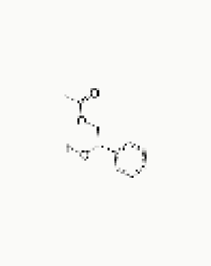 CC(=O)OCC(OF)c1ccccc1